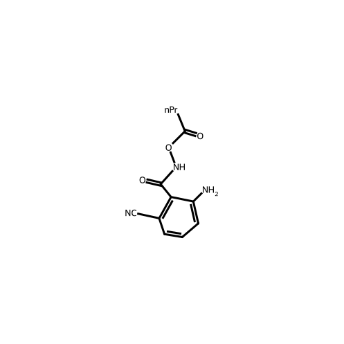 CCCC(=O)ONC(=O)c1c(N)cccc1C#N